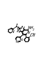 CC(c1ccccn1)n1nc2c(N)nc(-c3ccccc3C#N)c(-c3ccncn3)c2n1